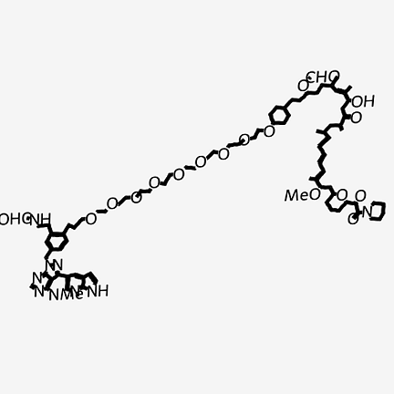 CNc1ncnc2c1c(-c1cnc3[nH]ccc3c1)nn2Cc1ccc(CCCOCCOCCOCCOCCOCCOCCOCCOCCOC2CCC(CCC(CCC(C)/C=C(\C)C(O)CC(=O)C(C)CC(C)/C=C/C=C/C=C(\C)C(CC3CCCC(C(=O)C(=O)N4CCCCC4)O3)OC)OC=O)CC2)c(CCNC=O)c1